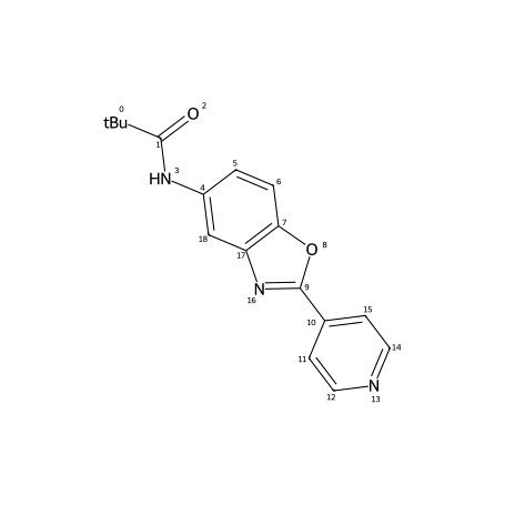 CC(C)(C)C(=O)Nc1ccc2oc(-c3ccncc3)nc2c1